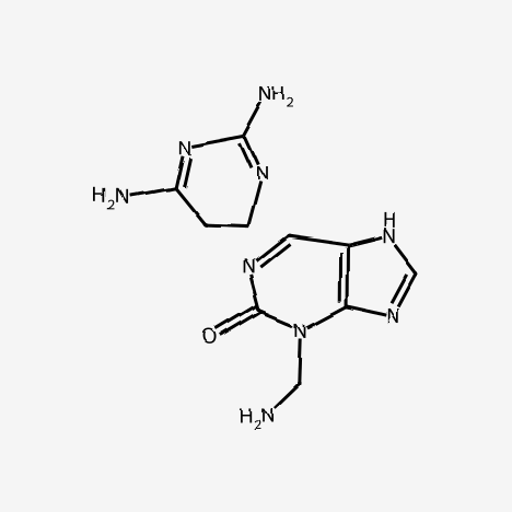 NC1=NC(N)=NCC1.NCn1c(=O)ncc2[nH]cnc21